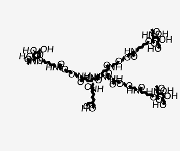 COCC(CO)CCCCNC(=O)C[C@H](CCC(=O)NCCOCCOCC(=O)NCCCCCO[C@@H]1OC(CO)[C@H](O)[C@H](O)C1NC(C)=O)NC(=O)C[C@H](CCC(=O)NCCOCCOCC(=O)NCCCCCO[C@@H]1OC(CO)[C@H](O)[C@H](O)C1NC(C)=O)NC(=O)CNC(=O)COCCOCCNC(=O)CCCCO[C@@H]1OC(CO)[C@H](O)[C@H](O)C1NC(C)=O